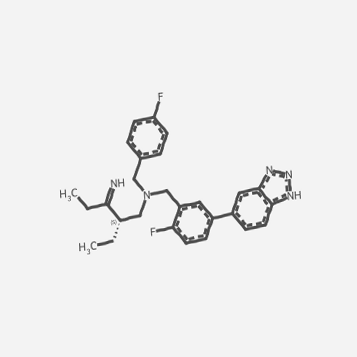 CCC(=N)[C@@H](CC)CN(Cc1ccc(F)cc1)Cc1cc(-c2ccc3[nH]nnc3c2)ccc1F